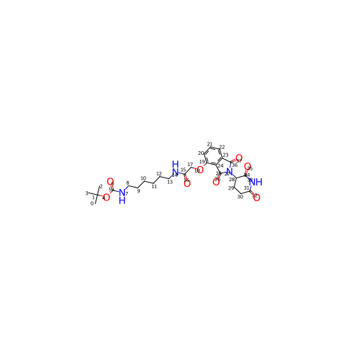 CC(C)(C)OC(=O)NCCCCCCNC(=O)COc1cccc2c1C(=O)N(C1CCC(=O)NC1=O)C2=O